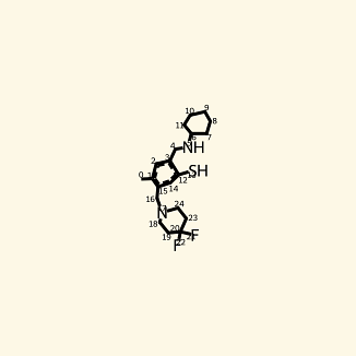 Cc1cc(CNC2CCCCC2)c(S)cc1CN1CCC(F)(F)CC1